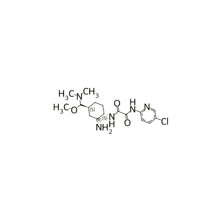 COC([C@H]1CC[C@H](NC(=O)C(=O)Nc2ccc(Cl)cn2)[C@H](N)C1)N(C)C